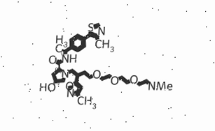 CNCCOCCOCCOCCC(CN1C[C@H](O)C[C@H]1C(=O)N[C@@H](C)c1ccc(-c2scnc2C)cc1)c1cc(C)no1